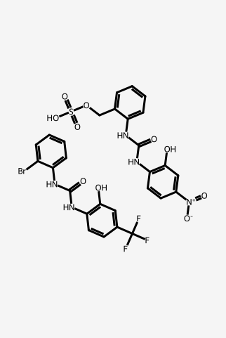 O=C(Nc1ccc(C(F)(F)F)cc1O)Nc1ccccc1Br.O=C(Nc1ccc([N+](=O)[O-])cc1O)Nc1ccccc1COS(=O)(=O)O